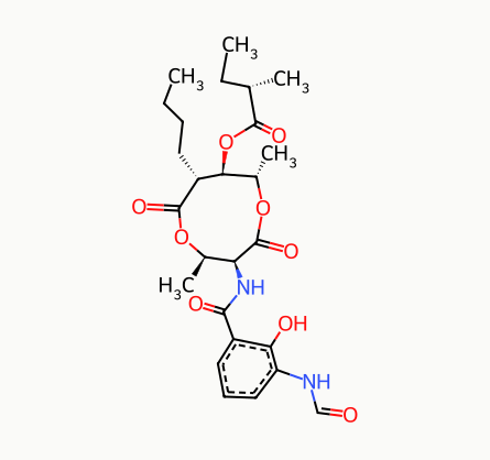 CCCC[C@H]1C(=O)O[C@H](C)[C@H](NC(=O)c2cccc(NC=O)c2O)C(=O)O[C@@H](C)[C@@H]1OC(=O)[C@@H](C)CC